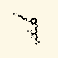 COCCCOc1cccc(OCCC(CC[N+](=O)[O-])C(C)C)c1